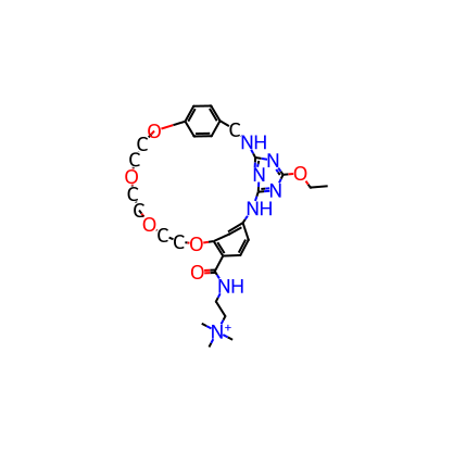 CCOc1nc2nc(n1)Nc1ccc(C(=O)NCC[N+](C)(C)C)c(c1)OCCOCCOCCOc1ccc(cc1)CN2